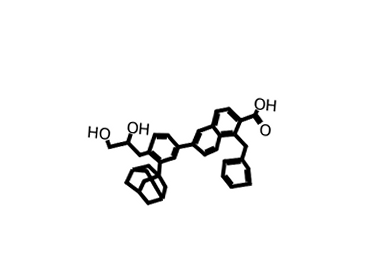 O=C(O)c1ccc2cc(-c3ccc(CC(O)CO)c(C45CC6CC(CC(C6)C4)C5)c3)ccc2c1Cc1ccccc1